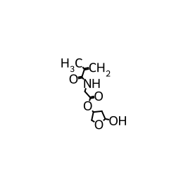 C=C(C)C(=O)NCC(=O)OC1COC(O)C1